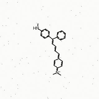 CNc1ccc(/C(=C/C=C/C=C2C=CC(=[N+](C)C)C=C2)c2ccccc2)cc1